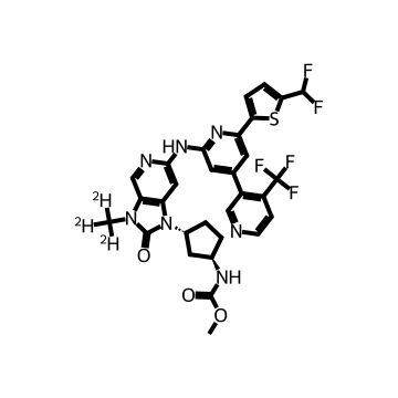 [2H]C([2H])([2H])n1c(=O)n([C@@H]2CC[C@@H](NC(=O)OC)C2)c2cc(Nc3cc(-c4cnccc4C(F)(F)F)cc(-c4ccc(C(F)F)s4)n3)ncc21